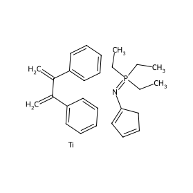 C=C(C(=C)c1ccccc1)c1ccccc1.CCP(CC)(CC)=NC1=CC=CC1.[Ti]